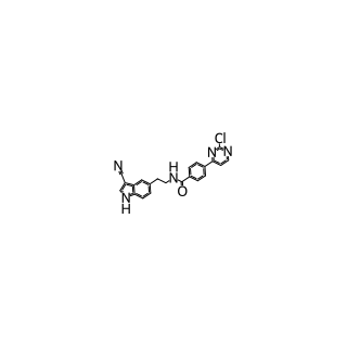 N#Cc1c[nH]c2ccc(CCNC(=O)c3ccc(-c4ccnc(Cl)n4)cc3)cc12